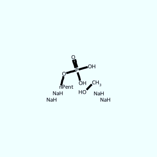 CCCCCOP(=O)(O)O.CO.[NaH].[NaH].[NaH].[NaH]